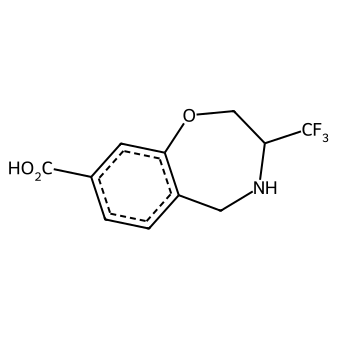 O=C(O)c1ccc2c(c1)OCC(C(F)(F)F)NC2